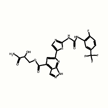 NC(=O)C(O)COC(=O)c1cc(-c2cnc(NC(=O)Nc3cc(C(F)(F)F)ccc3F)s2)nc2[nH]ncc12